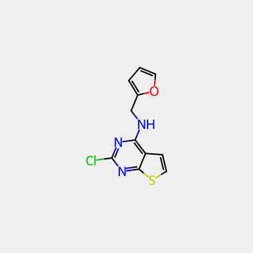 Clc1nc(NCc2ccco2)c2ccsc2n1